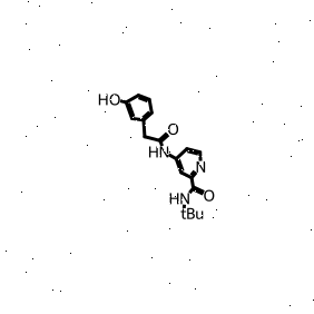 CC(C)(C)NC(=O)c1cc(NC(=O)Cc2cccc(O)c2)ccn1